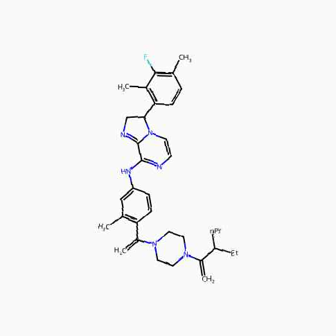 C=C(c1ccc(NC2=NC=CN3C2=NCC3c2ccc(C)c(F)c2C)cc1C)N1CCN(C(=C)C(CC)CCC)CC1